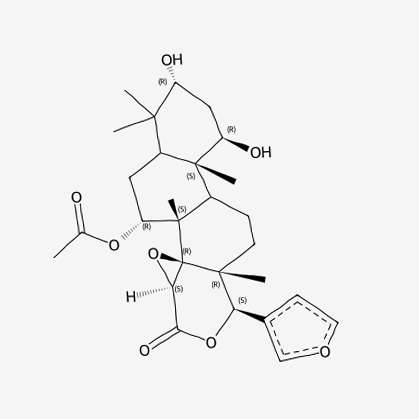 CC(=O)O[C@@H]1CC2C(C)(C)[C@H](O)C[C@@H](O)[C@]2(C)C2CC[C@]3(C)[C@@H](c4ccoc4)OC(=O)[C@H]4O[C@]43[C@@]21C